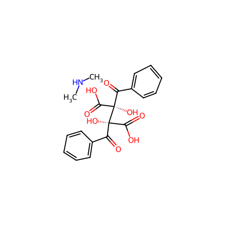 CNC.O=C(O)[C@@](O)(C(=O)c1ccccc1)[C@@](O)(C(=O)O)C(=O)c1ccccc1